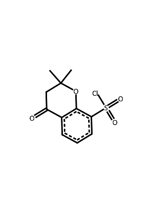 CC1(C)CC(=O)c2cccc(S(=O)(=O)Cl)c2O1